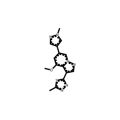 COc1cc(-c2cnn(C)c2)cn2ncc(-c3nnc(C)s3)c12